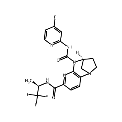 C[C@@H](NC(=O)c1ccc2c(n1)N(C(=O)Nc1cc(F)ccn1)[C@H]1CCN2C1)C(F)(F)F